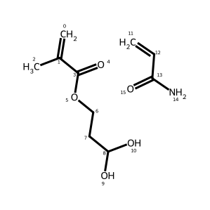 C=C(C)C(=O)OCCC(O)O.C=CC(N)=O